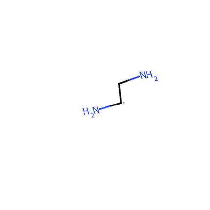 N[CH]CN